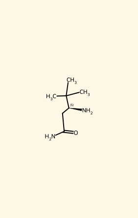 CC(C)(C)[C@@H](N)CC(N)=O